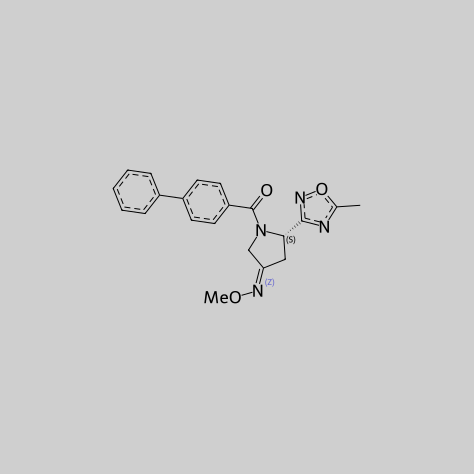 CO/N=C1/C[C@@H](c2noc(C)n2)N(C(=O)c2ccc(-c3ccccc3)cc2)C1